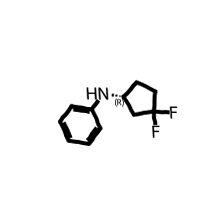 FC1(F)CC[C@@H](Nc2ccccc2)C1